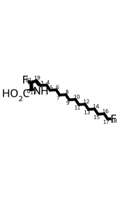 O=C(O)c1[nH]c(CCCCCCCCCCCCCCF)cc1F